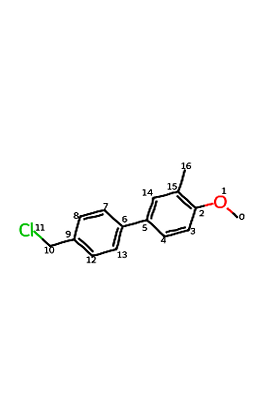 COc1ccc(-c2ccc(CCl)cc2)cc1C